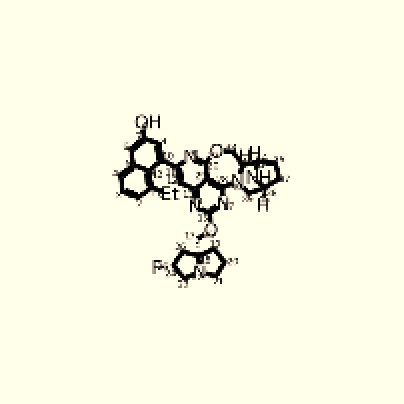 CCc1cccc2cc(O)cc(-c3cc4nc(OC[C@]56CCCN5C[C@H](F)C6)nc5c4c(n3)OC[C@@H]3[C@@H]4CC[C@H](CN53)N4)c12